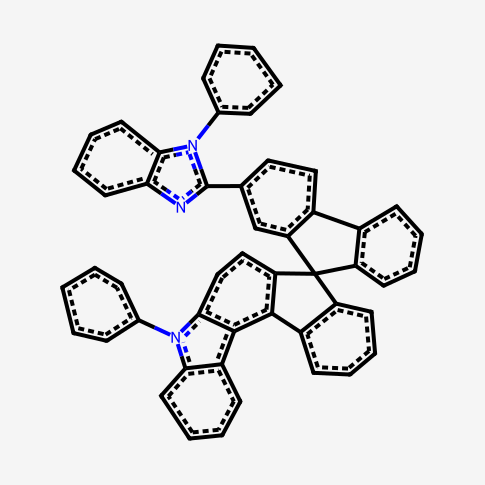 c1ccc(-n2c(-c3ccc4c(c3)C3(c5ccccc5-4)c4ccccc4-c4c3ccc3c4c4ccccc4n3-c3ccccc3)nc3ccccc32)cc1